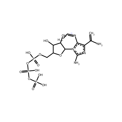 C=C(N)c1nc(N)n(C2OC(COP(=O)(O)OP(=O)(O)OP(=O)(O)O)C(O)C2O)c1/N=C\C